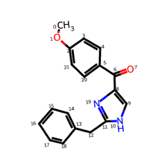 COc1ccc(C(=O)c2c[nH]c(Cc3ccccc3)n2)cc1